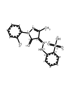 CC1=NN(c2ccccc2Cl)C(=O)C1=NNc1ccccc1S(=O)(=O)O